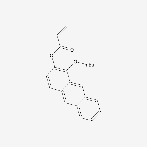 C=CC(=O)Oc1ccc2cc3ccccc3cc2c1OCCCC